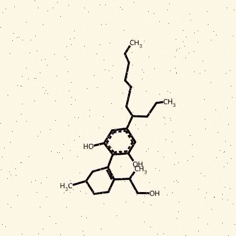 CCCCCCC(CCC)c1cc(O)c(C2=C(C(C)CO)CCC(C)C2)c(O)c1